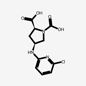 O=C(O)[C@@H]1C[C@H](Nc2cccc(Cl)n2)CN1C(=O)O